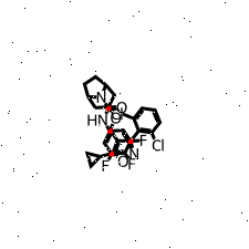 O=C(Nc1cc(F)c(F)c(F)c1)N1C2CCC1CC(OCc1c(-c3c(Cl)cccc3Cl)noc1C1CC1)C2